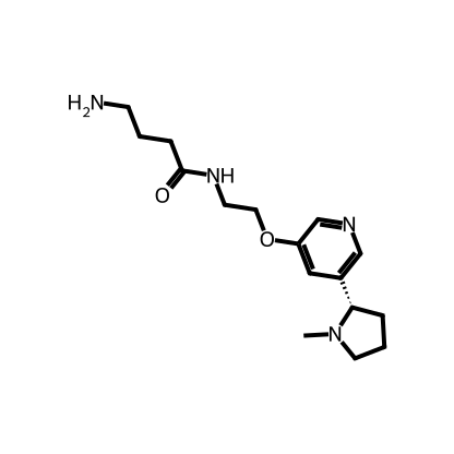 CN1CCC[C@H]1c1cncc(OCCNC(=O)CCCN)c1